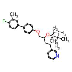 Cc1cc(-c2ccc(OCC(CCc3cccnc3)O[Si](C)(C)C(C)(C)C)cc2)ccc1F